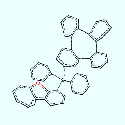 c1ccc([Si](c2ccccc2)(c2ccc3c(c2)-c2ccccc2-c2ccccc2-c2ccccc2-3)c2cccc3c2oc2ccccc23)cc1